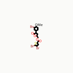 COc1ccc(C2=CC(COC(=O)c3cc(Br)c(Br)s3)OC2=O)cc1Br